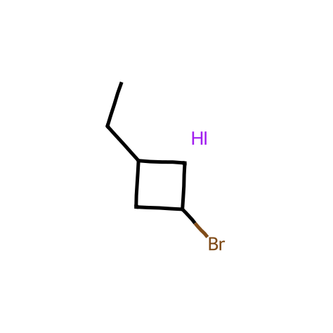 CCC1CC(Br)C1.I